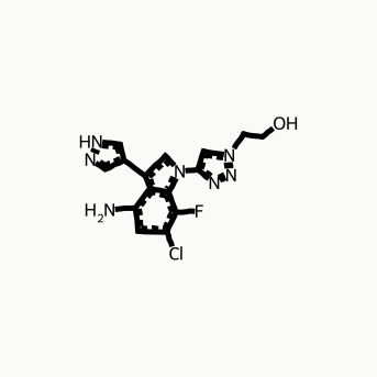 Nc1cc(Cl)c(F)c2c1c(-c1cn[nH]c1)cn2-c1cn(CCO)nn1